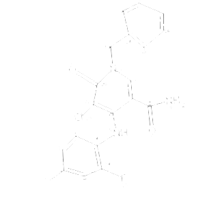 Cc1ccc(Nc2c(C(N)=O)cn(Cc3ccccc3)c(=O)c2Cl)c(F)c1